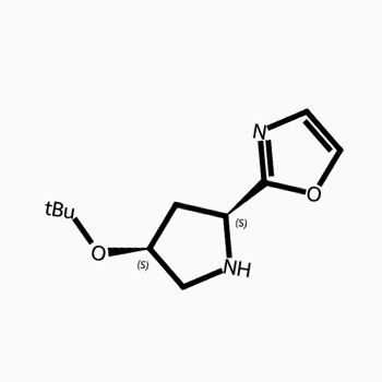 CC(C)(C)O[C@@H]1CN[C@H](c2ncco2)C1